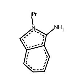 CC(C)n1cc2ccccc2c1N